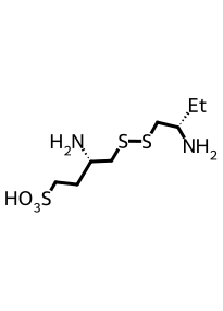 CC[C@H](N)CSSC[C@@H](N)CCS(=O)(=O)O